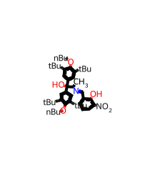 CCCCOc1c(C(C)(C)C)cc(C(O)(c2cc(C(C)(C)C)c(OCCCC)c(C(C)(C)C)c2)C(C)N=Cc2cccc([N+](=O)[O-])c2O)cc1C(C)(C)C